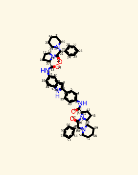 O=C(Nc1ccc(-c2cc3cc(NC(=O)[C@@H]4CCCN4C(=O)[C@@H](c4ccccc4)N4CCCCC4)ccc3[nH]2)cc1)[C@@H]1CCCN1C(=O)[C@@H](c1ccccc1)N1CCCCC1